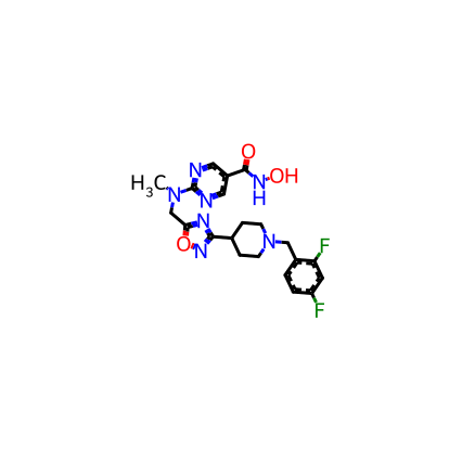 CN(Cc1nc(C2CCN(Cc3ccc(F)cc3F)CC2)no1)c1ncc(C(=O)NO)cn1